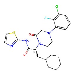 O=C(Nc1nccs1)[C@H](CC1CCCCC1)N1CCN(c2cccc(Cl)c2F)CC1=O